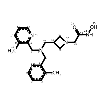 Cc1cccnc1CN(Cc1ncccc1C)CC1CN(CC(=O)NO)C1